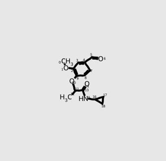 COc1cc(C=O)ccc1OC(C)C(=O)NC1CC1